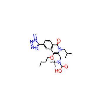 CCCCOc1c(CN(C(=O)O)C(C)(C)C)n(CC(C)C)c(=O)c2ccc(-c3nnn[nH]3)cc12